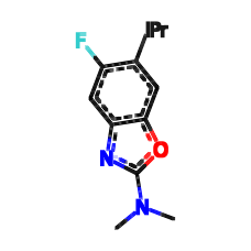 CC(C)c1cc2oc(N(C)C)nc2cc1F